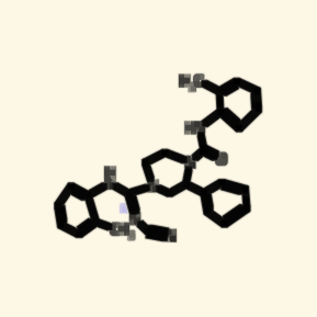 Cc1ccccc1NC(=O)N1CCN(/C(=N\C#N)Nc2ccccc2C)CC1c1ccccc1